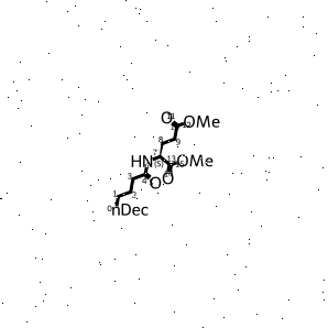 CCCCCCCCCCCCCC(=O)N[C@@H](CCC(=O)OC)C(=O)OC